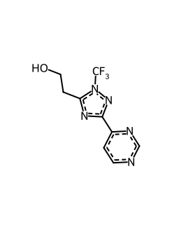 OCCc1nc(-c2ccncn2)nn1C(F)(F)F